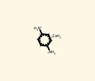 Nc1ccc(N)cc1.[CaH2]